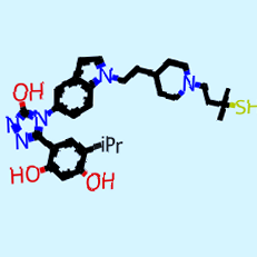 CC(C)c1cc(-c2nnc(O)n2-c2ccc3c(ccn3CCC3CCN(CCC(C)(C)S)CC3)c2)c(O)cc1O